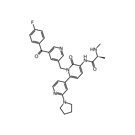 CN[C@@H](C)C(=O)Nc1ccc(-c2ccnc(N3CCCC3)c2)n(Cc2cncc(C(=O)c3ccc(F)cc3)c2)c1=O